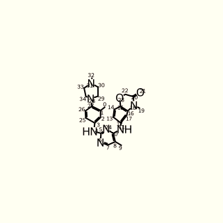 Cc1cc(Nc2ncc(C)c(Nc3ccc4c(c3)N(C)C(=O)CO4)n2)ccc1N1CCN(C)CC1